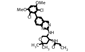 C=CC(=O)NC1CC(C)(C)OCC1Nc1ncc2cc(-c3c(Cl)c(OC)cc(OC)c3Cl)ccc2n1